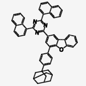 c1ccc2c(-c3nc(-c4cc(-c5ccc(C67CC8CC(CC(C8)C6)C7)cc5)c5oc6ccccc6c5c4)nc(-c4cccc5ccccc45)n3)cccc2c1